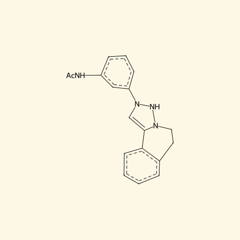 CC(=O)Nc1cccc(N2C=C3c4ccccc4CCN3N2)c1